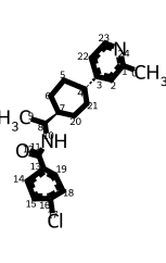 Cc1cc([C@H]2CC[C@H](C(C)NC(=O)c3ccc(Cl)cc3)CC2)ccn1